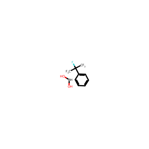 FC(F)(F)C(F)(c1ccccc1)C(F)(F)F.OBO